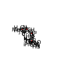 CO[C@@H](C)c1ncccc1-c1c2c3cc(ccc3n1C)-c1csc(n1)C[C@H](NC(=O)[C@H](C(C)C)N(C)C(=O)N1CCN(C(=O)[C@@H]3CN3)C[C@H]1C)C(=O)N1CCC[C@H](N1)C(=O)OCC(C)(C)C2